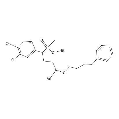 CCOP(C)(=O)C(CCN(OCCCCc1ccccc1)C(C)=O)c1ccc(Cl)c(Cl)c1